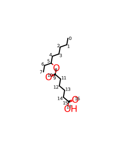 CCCCCC(CC)OC(=O)CCCCC(=O)O